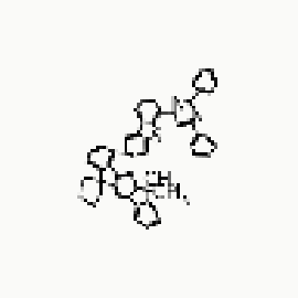 CC1(C)c2ccccc2C2C=C3C(=CC21)c1c(-c2ccc4sc5c(-c6cc(-c7ccccc7)nc(-c7ccccc7)n6)cccc5c4c2)cccc1C31CCCCC1